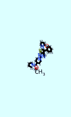 CCOC(C1CCN(c2ncc3c(-c4ccccc4)c(N4CCCC4=O)sc3n2)CC1)N1CCCC1